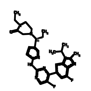 CC[C@H](c1ccc(Nc2ncc(F)c(-c3cc(F)c4nc(C)n(C(C)C)c4c3)n2)nc1)N1CCN(CC)C(=O)C1